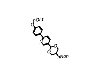 CCCCCCCCCC1COC(c2ccc(-c3ccc(OCCCCCCCC)cc3)nc2)OC1